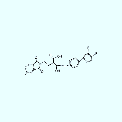 Cc1ccc2c(c1)C(=O)N(CC[C@@H](C(=O)O)[C@H](O)CCc1ccc(-c3ccc(F)c(F)c3)cc1)C2=O